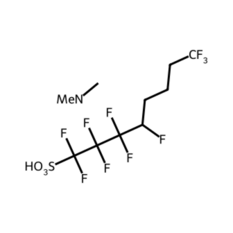 CNC.O=S(=O)(O)C(F)(F)C(F)(F)C(F)(F)C(F)CCCC(F)(F)F